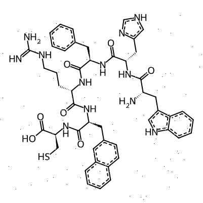 N=C(N)NCCC[C@H](NC(=O)[C@@H](Cc1ccccc1)NC(=O)[C@H](Cc1c[nH]cn1)NC(=O)[C@@H](N)Cc1c[nH]c2ccccc12)C(=O)N[C@@H](Cc1ccc2ccccc2c1)C(=O)N[C@@H](CS)C(=O)O